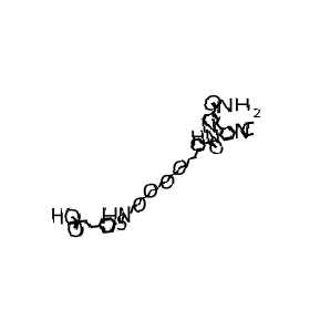 CCN(CC)c1ccc(NC(=O)c2cccc(CCCOCCOCCOCCOCCNSc3ccc(CCC(=O)O)cc3)c2)c(-c2cc(C(N)=O)ccn2)c1